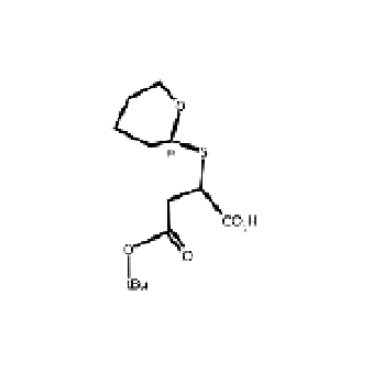 CC(C)(C)OC(=O)CC(S[C@H]1CCCCO1)C(=O)O